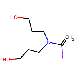 C=C(I)N(CCCO)CCCO